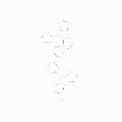 N#Cc1cc(-c2cccc(-n3c4ccc(C#N)cc4c4c(C#N)cccc43)c2)cc(-c2ccccc2-n2c3ccccc3c3ccccc32)c1